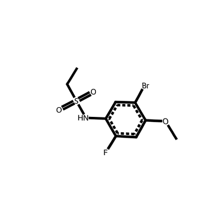 CCS(=O)(=O)Nc1cc(Br)c(OC)cc1F